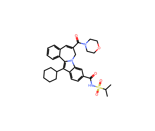 CC(C)S(=O)(=O)NC(=O)c1ccc2c(C3CCCCC3)c3n(c2c1)CC(C(=O)N1CCOCC1)=Cc1ccccc1-3